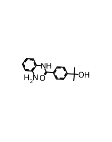 CC(C)(O)c1ccc(C(=O)Nc2ccccc2N)cc1